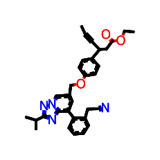 CC#CC(CC(=O)OCC)c1ccc(OCc2cc(-c3ccccc3CC#N)c3nc(C(C)C)nn3c2)cc1